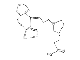 O=C(O)CCC1CCN(CCC=C2c3ccccc3C=Cc3ccccc32)C1